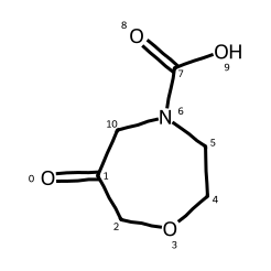 O=C1COCCN(C(=O)O)C1